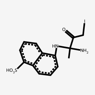 CC(N)(Nc1cccc2c(S(=O)(=O)O)cccc12)C(=O)CI